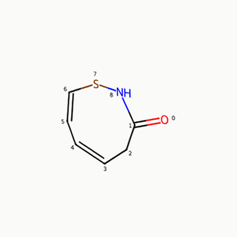 O=C1C/C=C\C=C/SN1